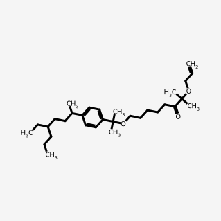 C=CCOC(C)(C)C(=O)CCCCCOC(C)(C)c1ccc(C(C)CCC(CC)CCC)cc1